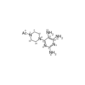 CC(=O)N1CCN(c2nc(N)nc(N)c2N)CC1